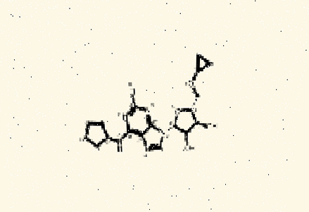 OC1C(O)[C@@H](COC2CC2)O[C@H]1n1cnc2c(NC3CCCC3)nc(Cl)nc21